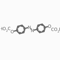 O=C(O)Oc1ccc(N=Nc2ccc(OC(=O)O)cc2)cc1